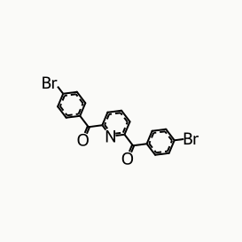 O=C(c1ccc(Br)cc1)c1cccc(C(=O)c2ccc(Br)cc2)n1